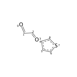 O=CC=O.c1ccsc1